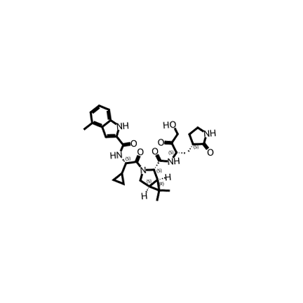 Cc1cccc2[nH]c(C(=O)N[C@H](C(=O)N3C[C@H]4[C@@H]([C@H]3C(=O)N[C@@H](C[C@@H]3CCNC3=O)C(=O)CO)C4(C)C)C3CC3)cc12